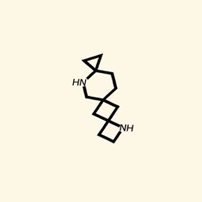 C1CC2(CC3(CCC4(CC4)NC3)C2)N1